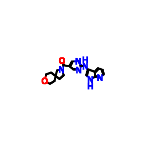 O=C(c1cnc(Nc2c[nH]c3ncccc23)nc1)N1CCC2(CCOCC2)C1